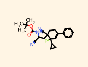 CC(C)(C)OC(=O)NC(C#N)CC1(C#N)C=CC(c2ccccc2)=CC1(F)C1CC1